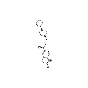 O=C1CCc2cc(C(O)CCCN3CCN(c4ccccc4)CC3)ccc2N1